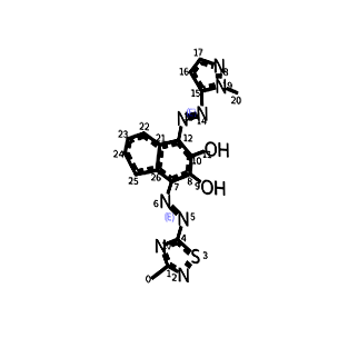 Cc1nsc(/N=N/c2c(O)c(O)c(/N=N/c3ccnn3C)c3ccccc23)n1